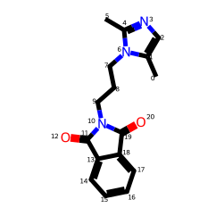 Cc1cnc(C)n1CCCN1C(=O)c2ccccc2C1=O